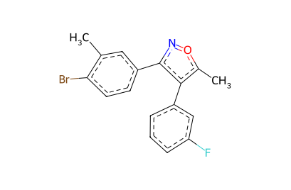 Cc1cc(-c2noc(C)c2-c2cccc(F)c2)ccc1Br